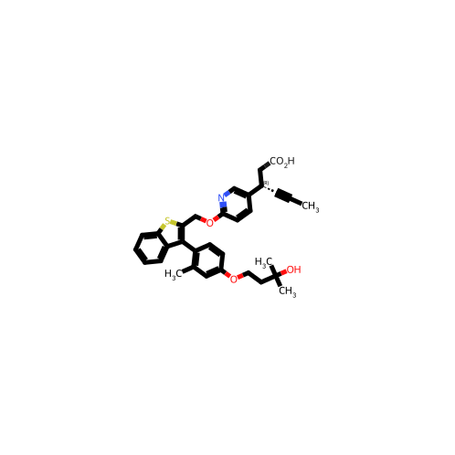 CC#C[C@@H](CC(=O)O)c1ccc(OCc2sc3ccccc3c2-c2ccc(OCCC(C)(C)O)cc2C)nc1